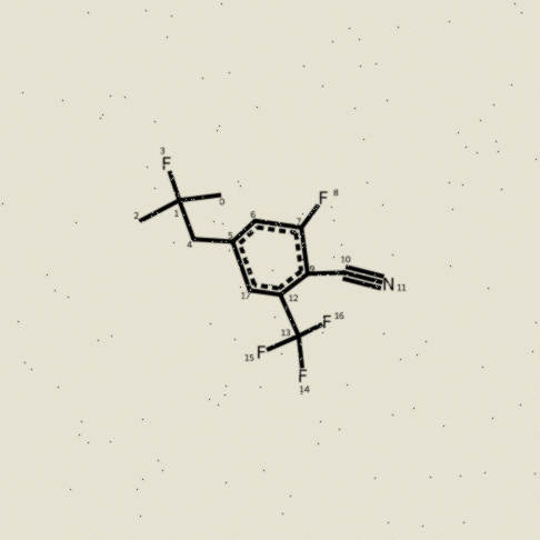 CC(C)(F)Cc1cc(F)c(C#N)c(C(F)(F)F)c1